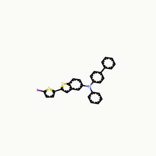 Ic1ccc(-c2cc3cc(N(c4ccccc4)c4ccc(-c5ccccc5)cc4)ccc3s2)s1